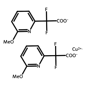 COc1cccc(C(F)(F)C(=O)[O-])n1.COc1cccc(C(F)(F)C(=O)[O-])n1.[Cu+2]